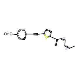 C=C(/C=C\C=C/C)c1ccc(C#Cc2ccc(C=O)cc2)s1